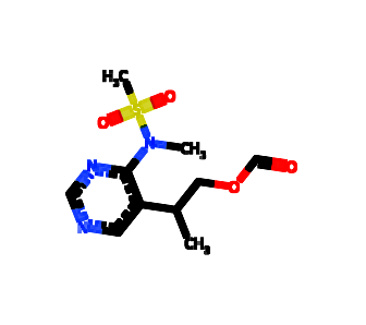 CC(COC=O)c1cncnc1N(C)S(C)(=O)=O